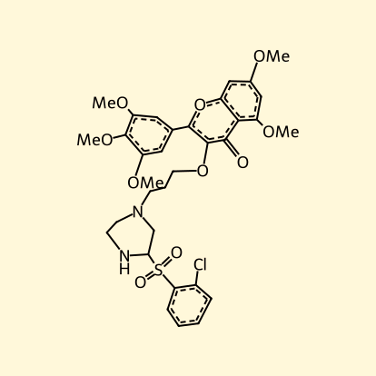 COc1cc(OC)c2c(=O)c(OCCCN3CCNC(S(=O)(=O)c4ccccc4Cl)C3)c(-c3cc(OC)c(OC)c(OC)c3)oc2c1